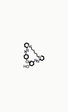 Oc1ccc(/N=N/c2cccc[n+]2CCCCCC[n+]2ccccc2/N=N/c2ccc(O)cc2)cc1